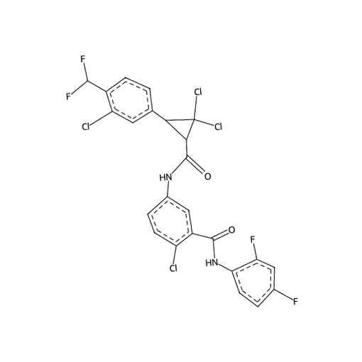 O=C(Nc1ccc(F)cc1F)c1cc(NC(=O)C2C(c3ccc(C(F)F)c(Cl)c3)C2(Cl)Cl)ccc1Cl